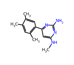 CNc1cc(-c2cc(C)c(C)cc2C)nc(N)n1